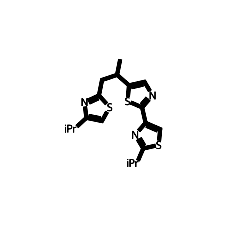 CC(C)c1csc(CC(C)c2cnc(-c3csc(C(C)C)n3)s2)n1